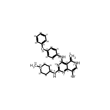 C=C1NC=C(Br)c2nc(NC3CCN(C)CC3)nc(Nc3ccc(Oc4ccccc4)cc3)c21